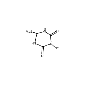 CSC1NC(=O)N(C(C)C)C(=O)N1